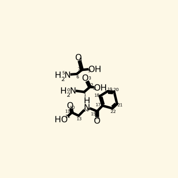 NCC(=O)O.NCC(=O)O.O=C(O)CNC(=O)c1ccccc1